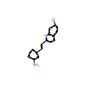 Nc1cccc(/C=C/c2ccc3ccc(Cl)cc3n2)c1